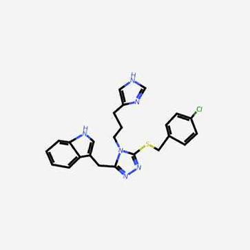 Clc1ccc(CSc2nnc(Cc3c[nH]c4ccccc34)n2CCCc2c[nH]cn2)cc1